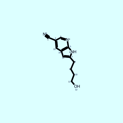 N#Cc1cnc2[nH]c(CCCCO)cc2c1